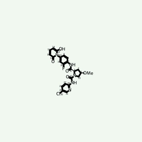 CO[C@@H]1C[C@H](C(=O)Nc2ccc(-n3c(O)cccc3=O)cc2F)N(C(=O)Nc2ccc(Cl)cn2)C1